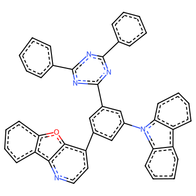 c1ccc(-c2nc(-c3ccccc3)nc(-c3cc(-c4ccnc5c4oc4ccccc45)cc(-n4c5ccccc5c5ccccc54)c3)n2)cc1